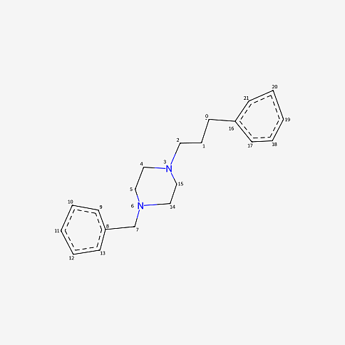 [CH](CCN1CCN(Cc2ccccc2)CC1)c1ccccc1